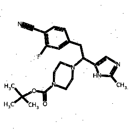 Cc1ncc(C(Cc2ccc(C#N)c(F)c2)N2CCN(C(=O)OC(C)(C)C)CC2)[nH]1